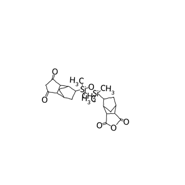 C[Si](C)(O[Si](C)(C)C1CC2CC1C1C(=O)OC(=O)C21)C1CC2CC1C1C(=O)CC(=O)C21